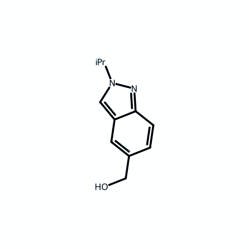 CC(C)n1cc2cc(CO)ccc2n1